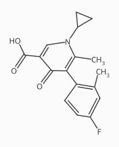 Cc1cc(F)ccc1-c1c(C)n(C2CC2)cc(C(=O)O)c1=O